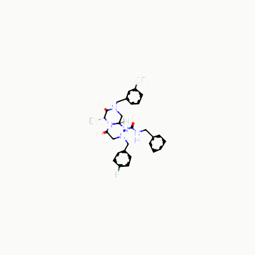 CC[C@H]1C(=O)N(Cc2cccc(C(F)(F)F)c2)C[C@H]2N1C(=O)CN(Cc1ccc(F)cc1)N2C(=O)NCc1ccccc1